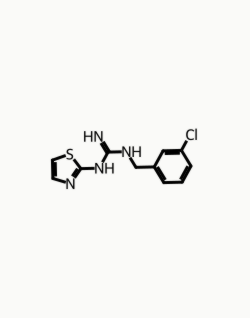 N=C(NCc1cccc(Cl)c1)Nc1nccs1